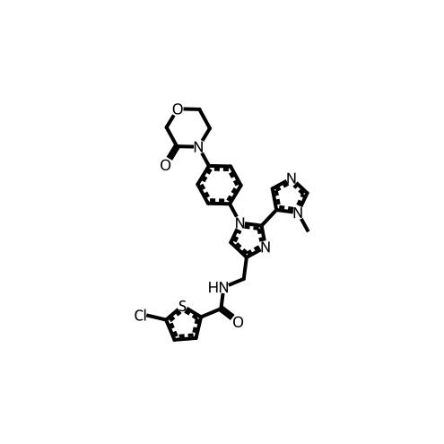 Cn1cncc1-c1nc(CNC(=O)c2ccc(Cl)s2)cn1-c1ccc(N2CCOCC2=O)cc1